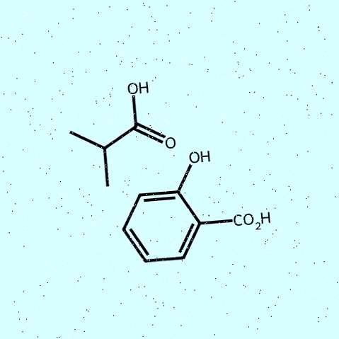 CC(C)C(=O)O.O=C(O)c1ccccc1O